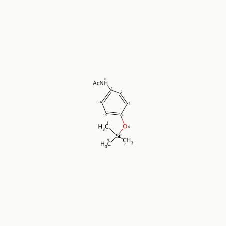 CC(=O)Nc1ccc(O[Si](C)(C)C)cc1